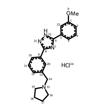 COc1cccc(-c2nc(-c3cccc(CN4CCCC4)c3)n[nH]2)c1.Cl